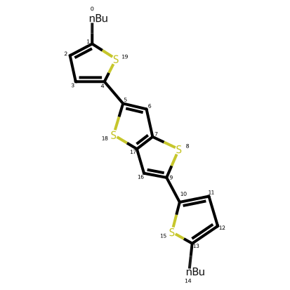 CCCCc1ccc(-c2cc3sc(-c4ccc(CCCC)s4)cc3s2)s1